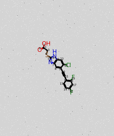 O=C(O)CSc1nc2cc(C#Cc3ccc(F)cc3F)c(Cl)cc2[nH]1